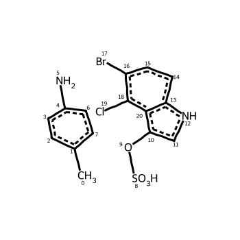 Cc1ccc(N)cc1.O=S(=O)(O)Oc1c[nH]c2ccc(Br)c(Cl)c12